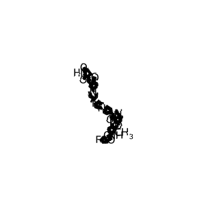 Cc1c(NS(=O)(=O)N2CC[C@@H](F)C2)ccc(F)c1Oc1ccc2ncn(-c3ccc(N4CCN(CC5CCN(c6ccc7c(c6)CN(C6CCC(=O)NC6=O)C7=O)CC5)CC4)cc3)c(=O)c2c1